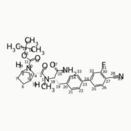 CN(C(=O)[C@@H]1[C@H]2CC[C@H](C2)N1C(=O)OC(C)(C)C)[C@@H](Cc1ccc(-c2ccc(C#N)c(F)c2)cc1)C(N)=O